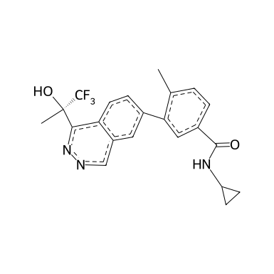 Cc1ccc(C(=O)NC2CC2)cc1-c1ccc2c([C@@](C)(O)C(F)(F)F)nncc2c1